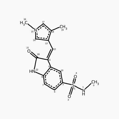 CNS(=O)(=O)c1ccc2c(c1)C(=Cc1cn(C)cc1C)C(=O)N2